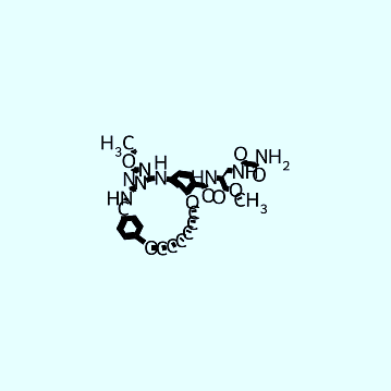 CCOc1nc2nc(n1)Nc1ccc(C(=O)N[C@@H](CNC(=O)C(N)=O)C(=O)OC)c(c1)OCCCCCCOc1ccc(cc1)CN2